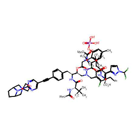 COC(=O)N[C@H](C(=O)N[C@@H](Cc1ccc(C#Cc2cnc(N3CC4CCC(C3)N4C3COC3)nc2)cc1)[C@H](CN(Cc1c(F)cc(-c2ccn(C(F)F)n2)cc1F)NC(=O)[C@@H](NC(=O)OC)C(C)(C)C(F)(F)F)OC(=O)CC(C)(C)c1c(CC(=O)N[C@@H](CC(C)C)C(=O)O)cc(C)cc1OP(=O)(O)O)C(C)(C)C(F)(F)F